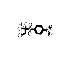 CC(Cl)(CCl)S(=O)(=O)c1ccc([N+](=O)[O-])cc1